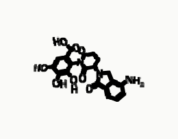 Nc1cccc2c1CN(C1CCC(=O)N(c3c(C(=O)O)cc(O)c(O)c3O)C1=O)C2=O